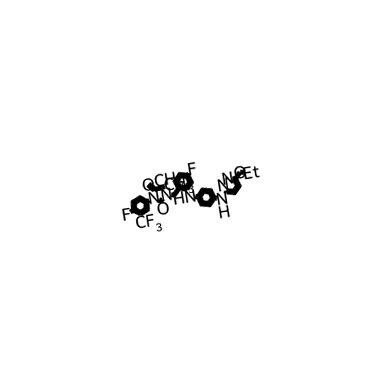 CCOc1ccc(Nc2ccc(Nc3cc(F)ccc3CN3C(=O)N(c4ccc(F)c(C(F)(F)F)c4)C(=O)C3(C)C)cc2)nn1